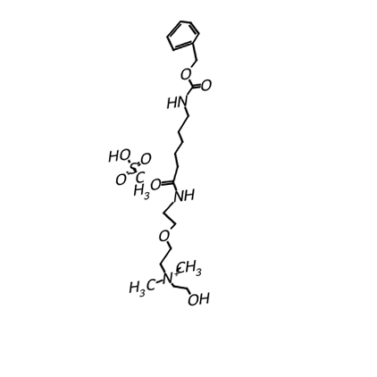 CS(=O)(=O)O.C[N+](C)(CCO)CCOCCNC(=O)CCCCCNC(=O)OCc1ccccc1